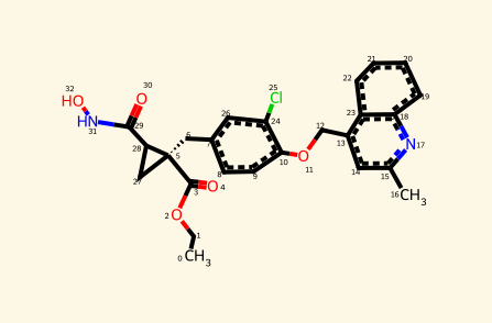 CCOC(=O)[C@@]1(Cc2ccc(OCc3cc(C)nc4ccccc34)c(Cl)c2)CC1C(=O)NO